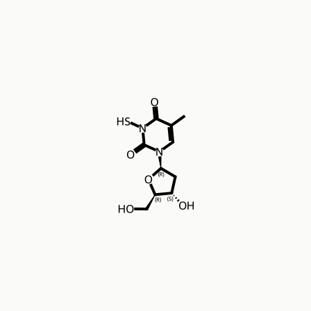 Cc1cn([C@H]2C[C@H](O)[C@@H](CO)O2)c(=O)n(S)c1=O